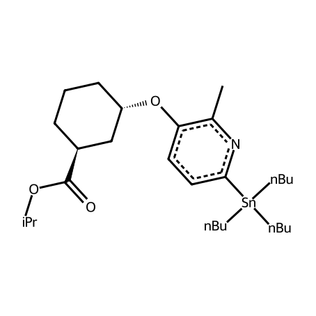 CCC[CH2][Sn]([CH2]CCC)([CH2]CCC)[c]1ccc(O[C@H]2CCC[C@H](C(=O)OC(C)C)C2)c(C)n1